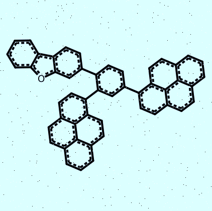 c1cc2ccc3ccc(-c4ccc(-c5ccc6c(c5)oc5ccccc56)c(-c5ccc6ccc7cccc8ccc5c6c78)c4)c4ccc(c1)c2c34